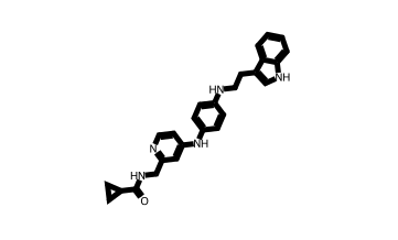 O=C(NCc1cc(Nc2ccc(NCCc3c[nH]c4ccccc34)cc2)ccn1)C1CC1